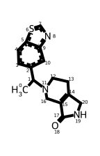 CC(c1ccc2scnc2c1)N1CCC2=C(C1)C(=O)NC2